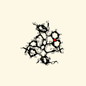 COc1nc(OC)nc(/C(C#N)=c2/c3c(-c4cccc(C(C)(C)C)c4)n(B(c4ccccc4)c4ccccc4)/c(=C(/C#N)c4nc(OC)nc(OC)n4)c3c(-c3cccc(C(C)(C)C)c3)n2B(c2ccccc2)c2ccccc2)n1